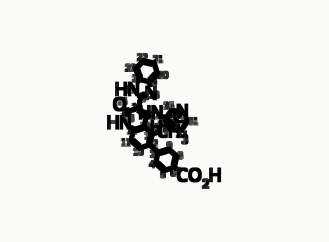 Cc1c(-c2ccc(C(=O)O)cc2)ccc2[nH]c(=O)c(-c3nc4ccccc4[nH]3)c(N[C@H]3CN4CCC3CC4)c12